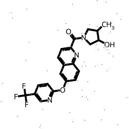 CC1CN(C(=O)c2ccc3cc(Oc4ccc(C(F)(F)F)cn4)ccc3n2)CC1O